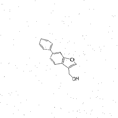 OCc1coc2cc(-c3ccccc3)ccc12